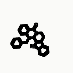 O=C1c2ccccc2N(Cc2ccccc2)C2c3[nH]c4ccccc4c3CCN12